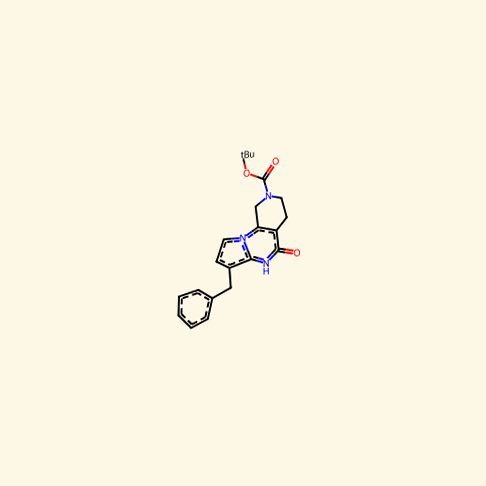 CC(C)(C)OC(=O)N1CCc2c(n3ccc(Cc4ccccc4)c3[nH]c2=O)C1